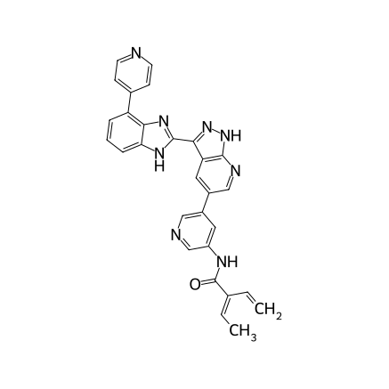 C=C/C(=C\C)C(=O)Nc1cncc(-c2cnc3[nH]nc(-c4nc5c(-c6ccncc6)cccc5[nH]4)c3c2)c1